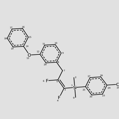 C[Si](C)(C(F)=C(F)Cc1cccc(Oc2ccccc2)c1)c1ccc(Cl)cc1